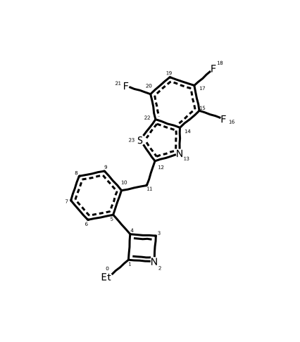 CCC1=NC=C1c1ccccc1Cc1nc2c(F)c(F)cc(F)c2s1